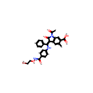 CC(=O)N1C(=O)/C(=C(/Nc2ccc(C(=O)NOCCBr)cc2)c2ccccc2)c2cc(C)c(C(=O)O)cc21